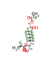 C=C(F)C(=O)OCC(O)CC(F)(F)C(F)(F)C(F)(F)C(F)(F)CC(CO)OC(=O)C(=C)F